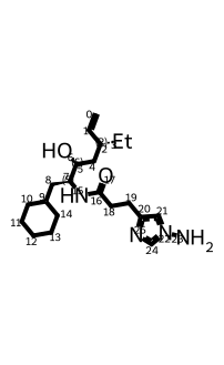 C=C[C@H](CC)C[C@H](O)[C@H](CC1CCCCC1)NC(=O)CCc1cn(N)cn1